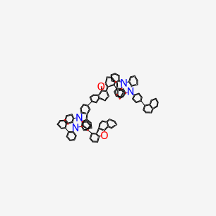 c1ccc(-c2ccccc2N(c2cccc(-c3cccc4oc5c6ccccc6ccc5c34)c2)c2ccccc2-n2c3ccccc3c3cc(-c4ccc5c(ccc6c5oc5cccc(-c7cccc(N(c8ccc(-c9cccc%10ccccc9%10)cc8)c8ccccc8-n8c9ccccc9c9ccccc98)c7)c56)c4)ccc32)cc1